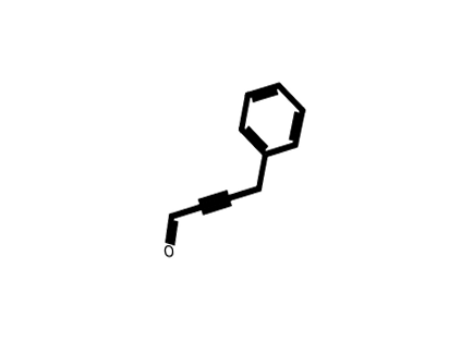 O=CC#CCc1ccccc1